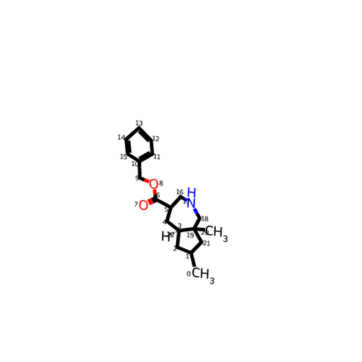 CC1C[C@H]2CC(C(=O)OCc3ccccc3)CNCC2(C)C1